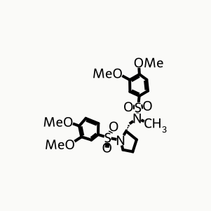 COc1ccc(S(=O)(=O)N(C)C[C@@H]2CCCN2S(=O)(=O)c2ccc(OC)c(OC)c2)cc1OC